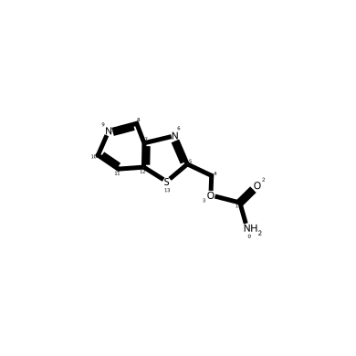 NC(=O)OCc1nc2cnccc2s1